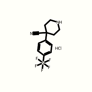 Cl.N#CC1(c2ccc(S(F)(F)(F)(F)F)cc2)CCNCC1